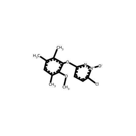 COc1c(C)cc(C)c(C)c1Oc1ccc(Cl)[n+]([O-])n1